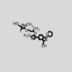 C#Cc1nn(C2CCCCO2)c2ccc(-c3cnn(C)c3OC(C)CCOc3c(I)c(CO)nn3C)cc12